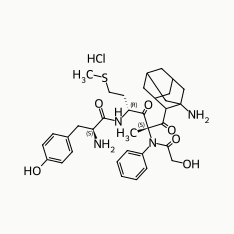 CSCC[C@@H](NC(=O)[C@@H](N)Cc1ccc(O)cc1)C(=O)[C@](C)(C(=O)C1C2CC3CC(C2)CC1(N)C3)N(C(=O)CO)c1ccccc1.Cl